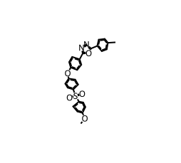 COc1ccc(S(=O)(=O)c2ccc(Oc3ccc(-c4nnc(-c5ccc(C)cc5)o4)cc3)cc2)cc1